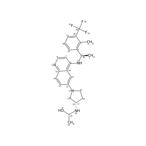 Cc1c([C@@H](C)Nc2ccnc3ccc(N4CC[C@H](NC(C)O)C4)cc23)cccc1C(F)(F)F